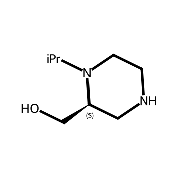 CC(C)N1CCNC[C@H]1CO